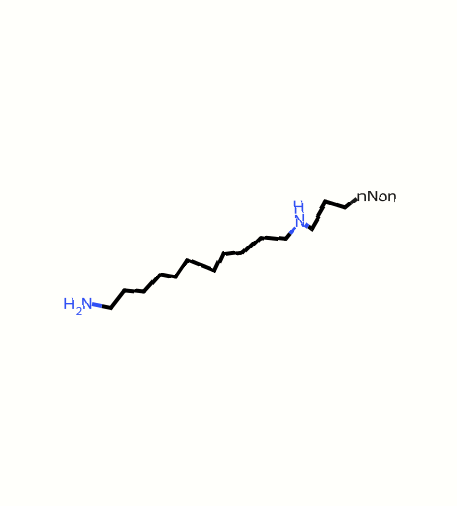 CCCCCCCCCCCCNCCCCCCCCCCCN